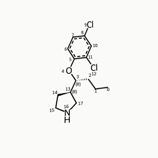 CCC[C@@H](Oc1ccc(Cl)cc1Cl)[C@@H]1CCNC1